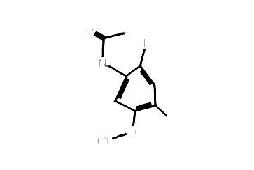 CC(C)Oc1cc(NC(=O)Cl)c(F)cc1F